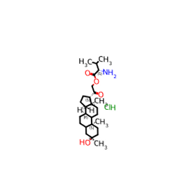 CC(C)[C@H](N)C(=O)OCC(=O)[C@H]1CC[C@H]2[C@@H]3CCC4C[C@](C)(O)CC[C@]4(C)C3CC[C@]12C.Cl